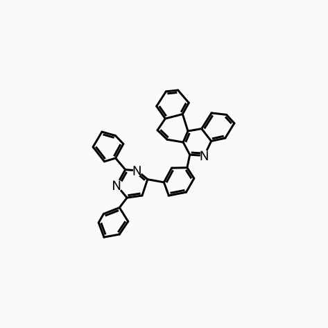 c1ccc(-c2cc(-c3cccc(-c4nc5ccccc5c5c4ccc4ccccc45)c3)nc(-c3ccccc3)n2)cc1